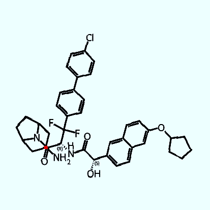 NC1CC2CCC(C1)N2C(=O)[C@@H](NC(=O)[C@@H](O)c1ccc2cc(OC3CCCC3)ccc2c1)C(F)(F)c1ccc(-c2ccc(Cl)cc2)cc1